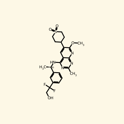 COc1nc2nc(C)nc(N[C@H](C)c3cccc(C(F)(F)CO)c3)c2cc1C1CCS(=O)(=O)CC1